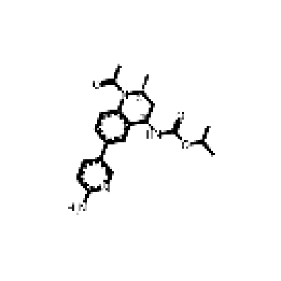 CC(=O)N1c2ccc(-c3ccc(N)nc3)cc2[C@H](NC(=O)OC(C)C)C[C@@H]1C